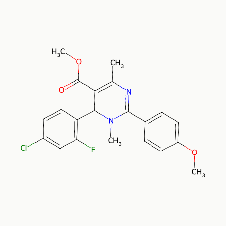 COC(=O)C1=C(C)N=C(c2ccc(OC)cc2)N(C)C1c1ccc(Cl)cc1F